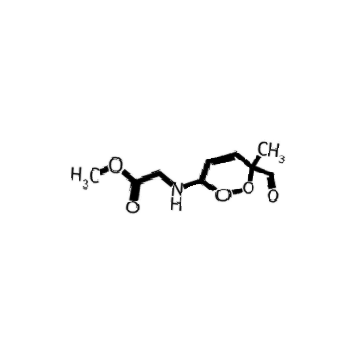 COC(=O)CNC1C=CC(C)(C=O)OO1